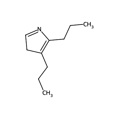 CCCC1=C(CCC)N=CC1